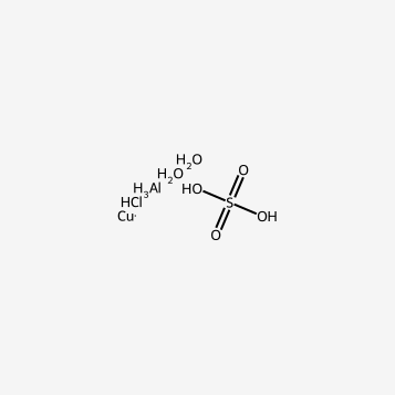 Cl.O.O.O=S(=O)(O)O.[AlH3].[Cu]